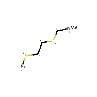 CCSCCSCNC